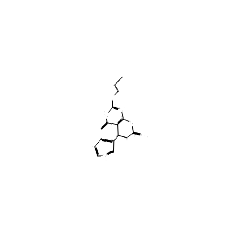 CCCSc1nc2c(c(=O)[nH]1)C(c1cccnc1)CC(=O)N2